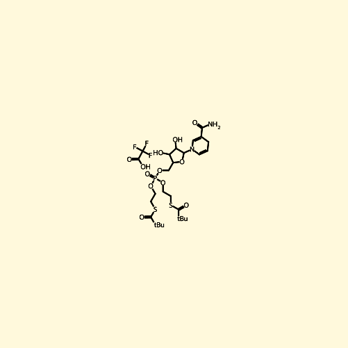 CC(C)(C)C(=O)SCCOP(=O)(OCCSC(=O)C(C)(C)C)OCC1OC(N2C=CCC(C(N)=O)=C2)C(O)C1O.O=C(O)C(F)(F)F